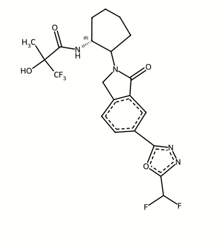 CC(O)(C(=O)N[C@@H]1CCCCC1N1Cc2ccc(-c3nnc(C(F)F)o3)cc2C1=O)C(F)(F)F